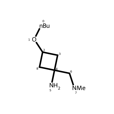 CCCCOC1CC(N)(CNC)C1